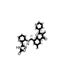 Cc1cc([C@@H](C)Nc2cccnc2-c2noc(=O)[nH]2)c2oc(-c3cccnc3)c(C)c(=O)c2c1